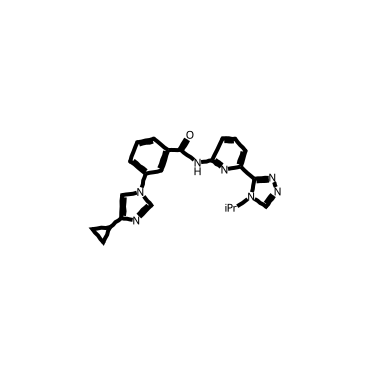 CC(C)n1cnnc1-c1cccc(NC(=O)c2cccc(-n3cnc(C4CC4)c3)c2)n1